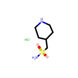 Cl.NS(=O)(=O)CC1CCNCC1